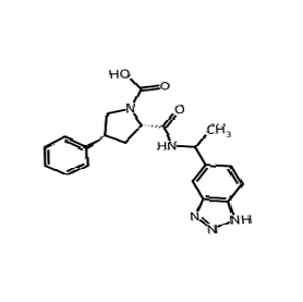 CC(NC(=O)[C@@H]1C[C@@H](c2ccccc2)CN1C(=O)O)c1ccc2[nH]nnc2c1